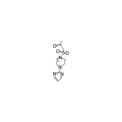 CC(=O)CS(=O)(=O)N1CCN(c2ncccn2)CC1